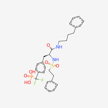 O=C(NCCCCc1ccccc1)[C@H](Cc1ccc(C(F)(F)P(=O)(O)O)cc1)NS(=O)(=O)CCc1ccccc1